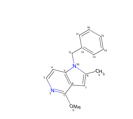 COc1nccc2c1cc(C)n2Cc1ccccc1